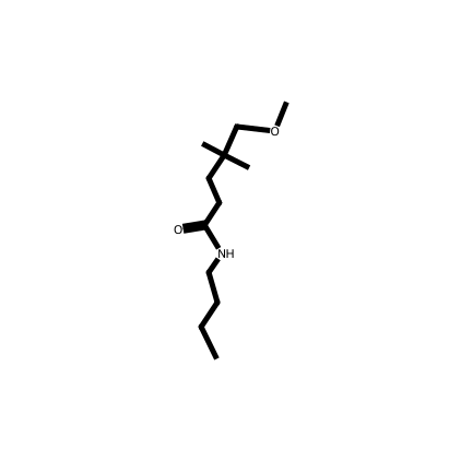 CCCCNC(=O)CCC(C)(C)COC